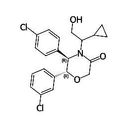 O=C1CO[C@H](c2cccc(Cl)c2)[C@@H](c2ccc(Cl)cc2)N1C(CO)C1CC1